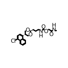 CNC(=O)COC(=O)NCCC[C@H]1OC[C@H](c2ccc(Cl)c3ccccc32)CO1